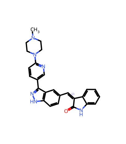 CN1CCN(c2ccc(-c3n[nH]c4ccc(/C=C5\C(=O)Nc6ccccc65)cc34)cn2)CC1